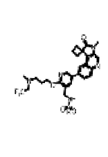 CN(CCCOc1ncc(-c2ccc3ncc4c(c3c2)C2(CCC2)C(=O)N4C)cc1CN[SH](=O)=O)CC(F)(F)F